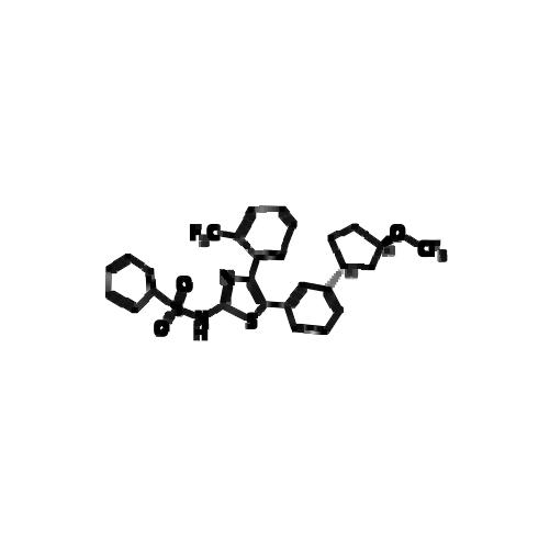 O=S(=O)(Nc1nc(-c2ccccc2C(F)(F)F)c(-c2cccc([C@@H]3CC[C@@H](OC(F)(F)F)C3)c2)s1)c1ccccc1